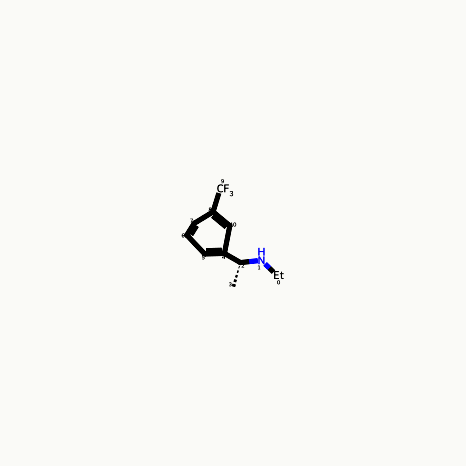 CCN[C@H](C)c1cccc(C(F)(F)F)c1